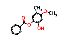 COc1cc(O)c(OC(=O)c2ccccc2)cc1C